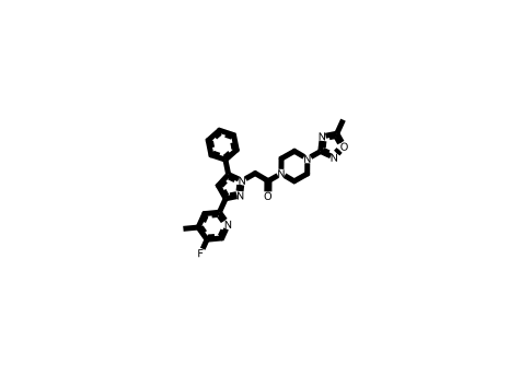 Cc1nc(N2CCN(C(=O)Cn3nc(-c4cc(C)c(F)cn4)cc3-c3ccccc3)CC2)no1